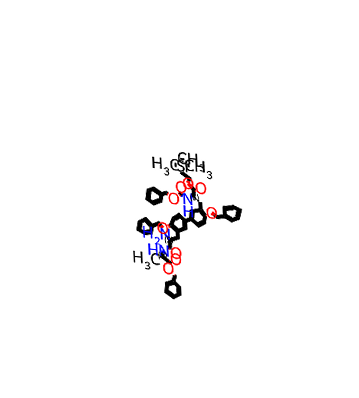 C[C@H](NC(=O)[C@@H](N)Cc1cc(-c2ccc(OCc3ccccc3)c(C[C@H](NC(=O)OCc3ccccc3)C(=O)OCC[Si](C)(C)C)c2)ccc1OCc1ccccc1)C(=O)OCc1ccccc1